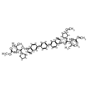 COC(=O)NC(C(=O)N1CCC[C@H]1c1nc2cc(-c3ccc(-c4ccc5[nH]c([C@@H]6C[C@H](OC)CN6C(=O)[C@@H](NC(=O)OC)C(C)C)nc5c4)cc3)ccc2[nH]1)C(C)C